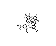 CCOc1cc(C(=O)O)ccc1N(Cc1cc(C2CC2)cc(C(C)(C)C)c1)C(=O)CN(Cc1ccc(F)cc1Cl)S(=O)(=O)c1c(F)c(F)c(F)c(F)c1F